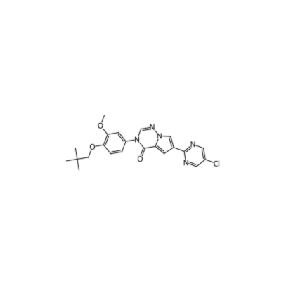 COc1cc(-n2cnn3cc(-c4ncc(Cl)cn4)cc3c2=O)ccc1OCC(C)(C)C